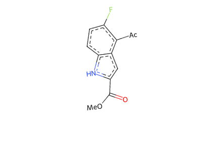 COC(=O)c1cc2c(C(C)=O)c(F)ccc2[nH]1